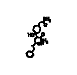 NC(=O)CC1CCC(O)([C@H](CC(O)[CH]Cc2ccccc2)C(N)=O)CC1